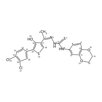 CC(=NNC(=S)Nc1ccc2c(c1)OCCO2)c1csc(-c2ccc(Cl)c(Cl)c2)c1O